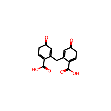 O=C1C=C(CC2=CC(=O)CC=C2C(=O)O)C(C(=O)O)=CC1